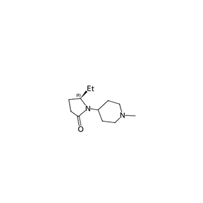 CC[C@@H]1CCC(=O)N1C1CCN(C)CC1